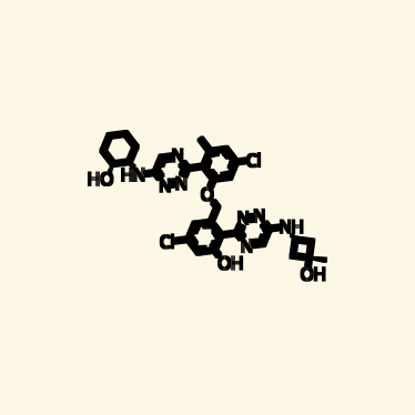 Cc1cc(Cl)cc(OCc2cc(Cl)cc(O)c2-c2ncc(N[C@H]3C[C@@](C)(O)C3)nn2)c1-c1ncc(N[C@@H]2CCCC[C@H]2O)nn1